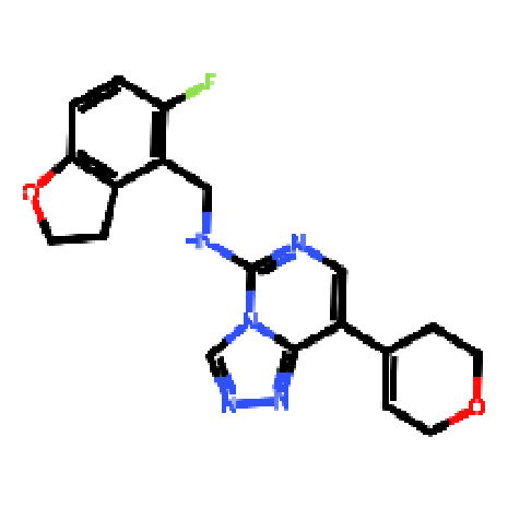 Fc1ccc2c(c1CNc1ncc(C3=CCOCC3)c3nncn13)CCO2